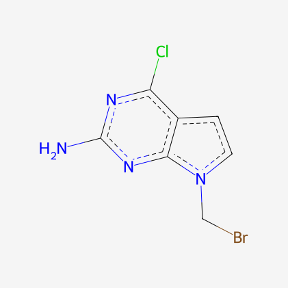 Nc1nc(Cl)c2ccn(CBr)c2n1